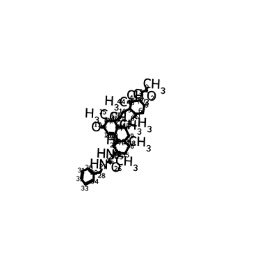 CC(=O)O[C@H]1CC[C@@H](C)C(CC[C@]2(C)[C@@H](C)C(=O)C=C3[C@@H]4C[C@@](C)(NC(=O)NCc5ccccc5)CC[C@]4(C)CC[C@]32C)C1(C)C